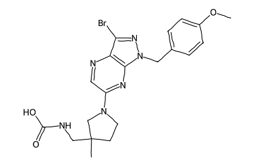 COc1ccc(Cn2nc(Br)c3ncc(N4CCC(C)(CNC(=O)O)C4)nc32)cc1